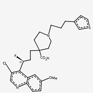 COc1ccc2ncc(Cl)c([C@@H](F)CCC3(C(=O)O)CCN(CCCc4ccsc4)CC3)c2c1